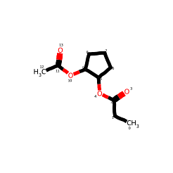 CCC(=O)OC1CCCC1OC(C)=O